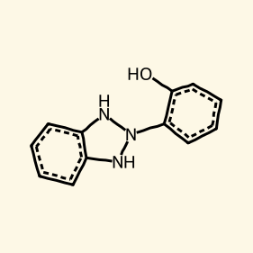 Oc1ccccc1N1Nc2ccccc2N1